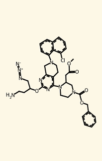 COC(=O)CC1CN(C(=O)OCc2ccccc2)CCN1c1nc(OC(CCN)CN=[N+]=[N-])nc2c1CCN(c1cccc3cccc(Cl)c13)C2